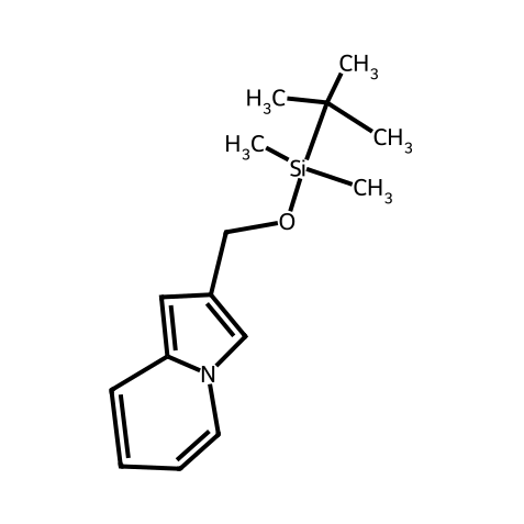 CC(C)(C)[Si](C)(C)OCc1cc2ccccn2c1